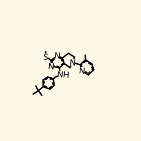 CSc1nc2c(c(Nc3ccc(C(C)(C)C)cc3)n1)CN(c1ncccc1C)CC2